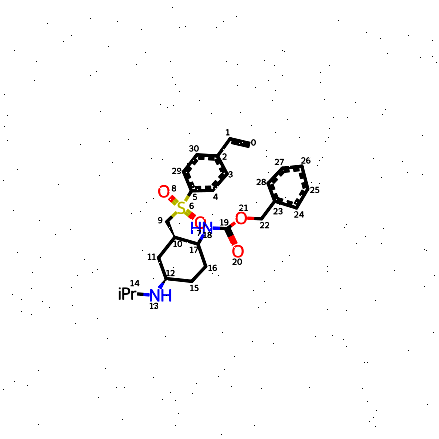 C=Cc1ccc(S(=O)(=O)C[C@@H]2C[C@H](NC(C)C)CCC2NC(=O)OCc2ccccc2)cc1